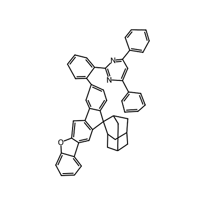 c1ccc(-c2cc(-c3ccccc3)nc(-c3ccccc3-c3ccc4c(c3)-c3cc5oc6ccccc6c5cc3C43C4CC5CC(C4)CC3C5)n2)cc1